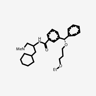 CCOCCCO[C@@H](c1ccccc1)c1cccc(C(=O)NC(CNC)CC2CCCCC2)c1